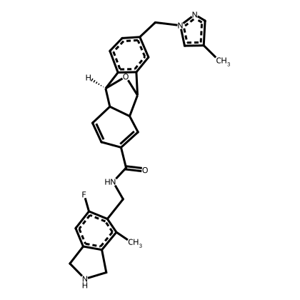 Cc1cnn(Cc2ccc3c(c2)C2O[C@H]3C3C=CC(C(=O)NCc4c(F)cc5c(c4C)CNC5)=CC23)c1